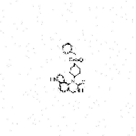 O=C1NCc2cnc3[nH]ccc3c2N1C1CCN(S(=O)(=O)Cc2ccccc2)CC1